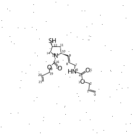 C=CCOC(=O)NC/C=C/[C@@H]1C[C@H](S)CN1C(=O)OCC=C